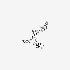 CN(C)C(=O)CCSC(SCCC(=O)[O-])c1cccc(/C=C/c2ccc3ccc(Cl)cc3n2)c1.[Na+]